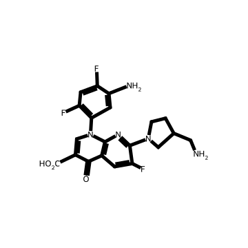 NCC1CCN(c2nc3c(cc2F)c(=O)c(C(=O)O)cn3-c2cc(N)c(F)cc2F)C1